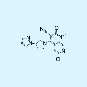 Cn1c(=O)c(C#N)c(N2CC[C@@H](n3cccn3)C2)c2cc(Cl)ncc21